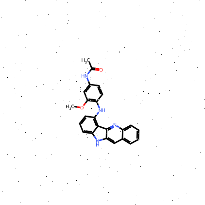 COc1cc(NC(C)=O)ccc1Nc1cccc2[nH]c3cc4ccccc4nc3c12